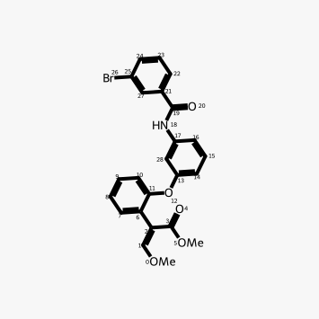 COC=C(C(=O)OC)c1ccccc1Oc1cccc(NC(=O)c2cccc(Br)c2)c1